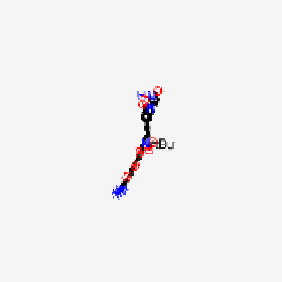 CC(C)(C)OC(=O)N(CCC#Cc1ccc2c(c1)CN(C1CCC(=O)NC1=O)C2=O)CCOCCOCCOCCN=[N+]=[N-]